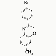 Cc1ccc2c(c1)OCC(c1ccc(Br)cc1)=N2